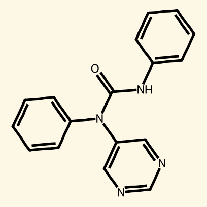 O=C(Nc1ccccc1)N(c1ccccc1)c1cncnc1